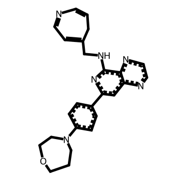 C1=CN=CC=C(CNc2nc(-c3ccc(N4CCCOCC4)cc3)cc3nccnc23)C1